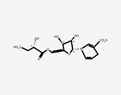 O=C(O)C[C@H](O)C(=O)O/C=C1/O[C@@H](N2C=CCC(C(=O)O)=C2)[C@H](O)[C@@H]1O